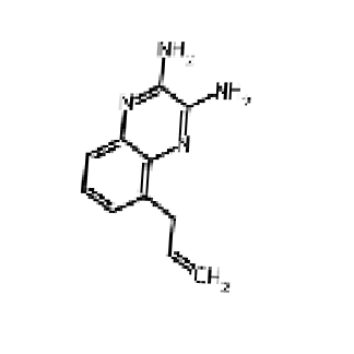 C=CCc1cccc2nc(N)c(N)nc12